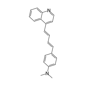 CN(C)c1ccc(C=CC=Cc2ccnc3ccccc23)cc1